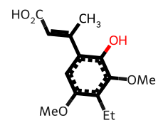 CCc1c(OC)cc(C(C)=CC(=O)O)c(O)c1OC